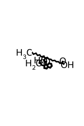 C=CCc1ccc2ccccc2c1S(=O)(=O)O.CCCCCCCCCCCCCCCCCC(=O)O